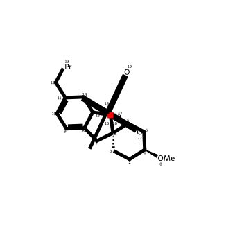 CO[C@H]1CC[C@]2(CC1)CC1=CC=C(CC(C)C)CC1C21NC(=O)NC1=O